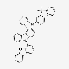 CC1(C)c2ccccc2-c2ccc(-n3c4ccccc4c4c5c6ccccc6n(-c6cccc7c6oc6ccccc67)c5ccc43)cc21